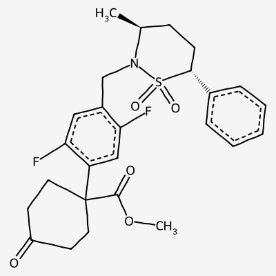 COC(=O)C1(c2cc(F)c(CN3[C@@H](C)CC[C@H](c4ccccc4)S3(=O)=O)cc2F)CCC(=O)CC1